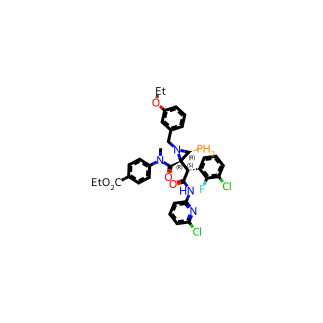 CCOC(=O)c1ccc(N(C)C(=O)[C@]2([C@@H](C(=O)Nc3cccc(Cl)n3)c3cccc(Cl)c3F)[C@@H](P)N2Cc2cccc(OCC)c2)cc1